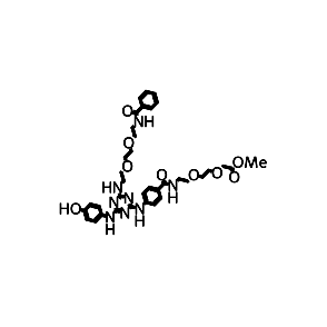 COC(=O)COCCOCCNC(=O)c1ccc(Nc2nc(NCCOCCOCCNC(=O)c3ccccc3)nc(Nc3ccc(O)cc3)n2)cc1